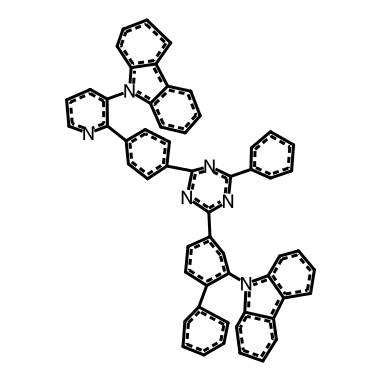 c1ccc(-c2nc(-c3ccc(-c4ncccc4-n4c5ccccc5c5ccccc54)cc3)nc(-c3ccc(-c4ccccc4)c(-n4c5ccccc5c5ccccc54)c3)n2)cc1